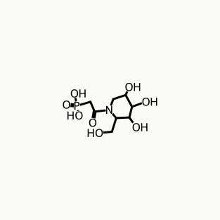 O=C(CP(=O)(O)O)N1CC(O)C(O)C(O)C1CO